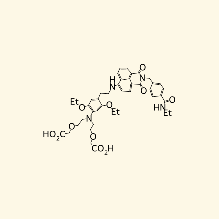 CCNC(=O)c1ccc(CN2C(=O)c3cccc4c(NCCc5cc(OCC)c(N(CCOCC(=O)O)CCOCC(=O)O)cc5OCC)ccc(c34)C2=O)cc1